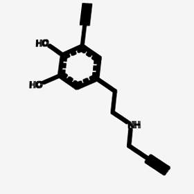 C#CCNCCc1cc(O)c(O)c(C#C)c1